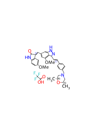 COc1ccc2c(c1)/C(=C\c1cc(OC)c3c(/C=C/c4ccc(CN5C[C@@H](C)O[C@@H](C)C5)cc4)n[nH]c3c1)C(=O)N2.O=C(O)C(F)(F)F